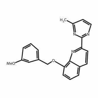 COc1cccc(COc2cccc3ccc(-c4nccc(C)n4)nc23)c1